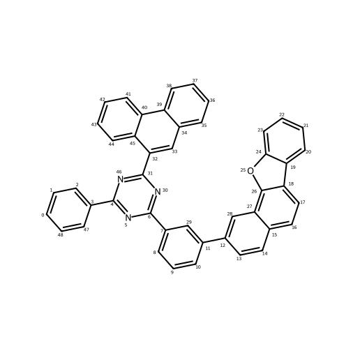 c1ccc(-c2nc(-c3cccc(-c4ccc5ccc6c7ccccc7oc6c5c4)c3)nc(-c3cc4ccccc4c4ccccc34)n2)cc1